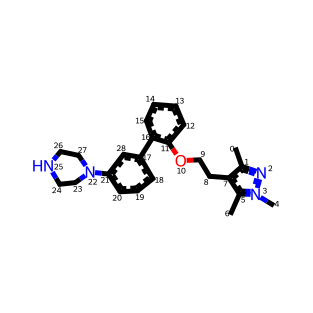 Cc1nn(C)c(C)c1CCOc1ccccc1-c1cccc(N2CCNCC2)c1